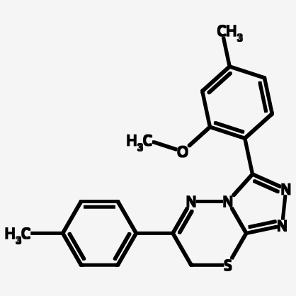 COc1cc(C)ccc1-c1nnc2n1N=C(c1ccc(C)cc1)CS2